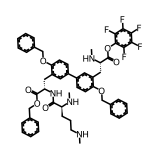 CNCCC[C@H](NC)C(=O)N[C@@H](Cc1cc(-c2ccc(OCc3ccccc3)c(C[C@H](NC)C(=O)Oc3c(F)c(F)c(F)c(F)c3F)c2)ccc1OCc1ccccc1)C(=O)OCc1ccccc1